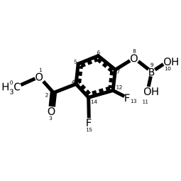 COC(=O)c1ccc(OB(O)O)c(F)c1F